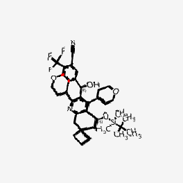 CC(C)(C)[Si](C)(C)O[C@H]1CC2(CCC2)Cc2nc(C3CCOCC3)c([C@H](O)c3ccc(C(F)(F)F)c(C#N)c3)c(C3=CCOCC3)c21